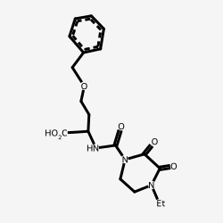 CCN1CCN(C(=O)NC(CCOCc2ccccc2)C(=O)O)C(=O)C1=O